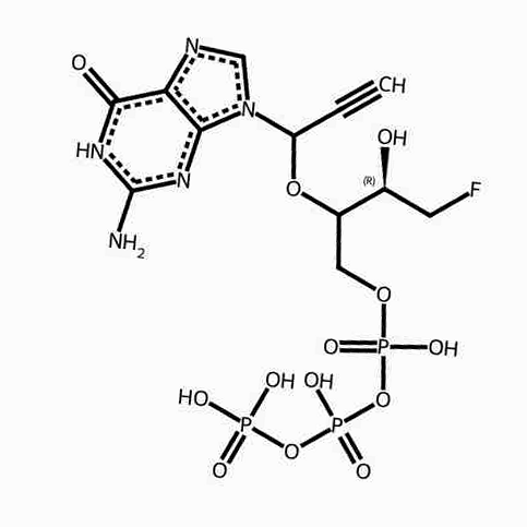 C#CC(OC(COP(=O)(O)OP(=O)(O)OP(=O)(O)O)[C@@H](O)CF)n1cnc2c(=O)[nH]c(N)nc21